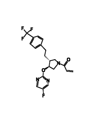 C=CC(=O)N1C[C@@H](CCc2ccc(C(F)(F)F)cc2)[C@H](Oc2ncc(F)cn2)C1